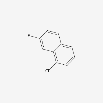 Fc1ccc2cccc(Cl)c2c1